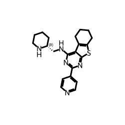 c1cc(-c2nc(NC[C@H]3CCCCN3)c3c4c(sc3n2)CCCC4)ccn1